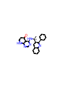 C[C@H](Nc1ncnc2[nH]ccc(=O)c12)c1cc2ccccc2nc1-c1ccccc1